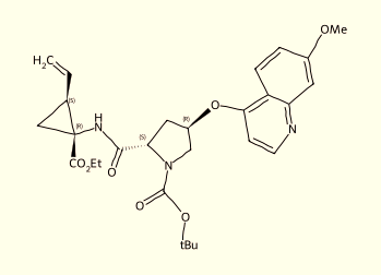 C=C[C@@H]1C[C@]1(NC(=O)[C@@H]1C[C@@H](Oc2ccnc3cc(OC)ccc23)CN1C(=O)OC(C)(C)C)C(=O)OCC